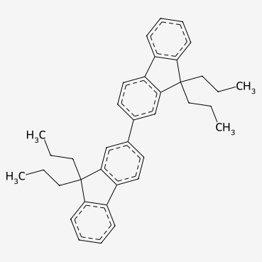 CCCC1(CCC)c2ccccc2-c2ccc(-c3ccc4c(c3)C(CCC)(CCC)c3ccccc3-4)cc21